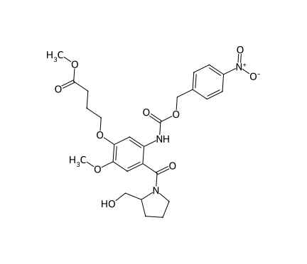 COC(=O)CCCOc1cc(NC(=O)OCc2ccc([N+](=O)[O-])cc2)c(C(=O)N2CCCC2CO)cc1OC